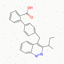 CCC(C)c1nnc2ccccc2c1Cc1ccc(-c2ccccc2C(=O)O)cc1